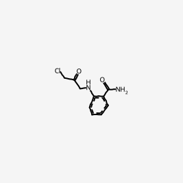 NC(=O)c1ccccc1NCC(=O)CCl